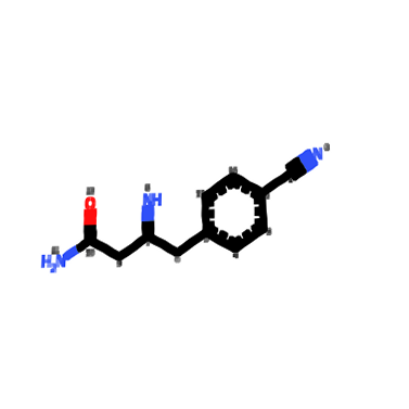 N#Cc1ccc(CC(=N)CC(N)=O)cc1